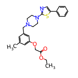 CCOC(=O)COc1cc(C)cc(CN2CCN(c3ncc(-c4ccccc4)s3)CC2)c1